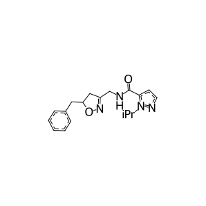 CC(C)n1nccc1C(=O)NCC1=NOC(Cc2ccccc2)C1